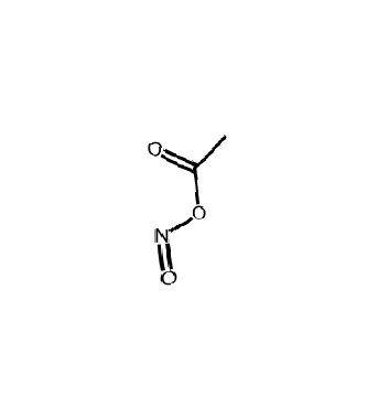 CC(=O)ON=O